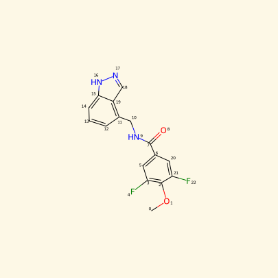 COc1c(F)cc(C(=O)NCc2cccc3[nH]ncc23)cc1F